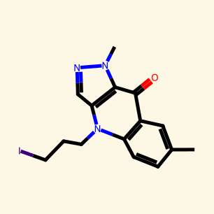 Cc1ccc2c(c1)c(=O)c1c(cnn1C)n2CCCI